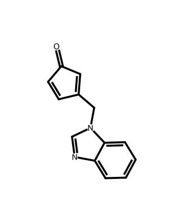 O=C1C=CC(Cn2cnc3ccccc32)=C1